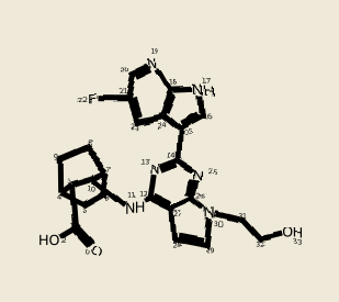 O=C(O)C1C2CCC(CC2)C1Nc1nc(-c2c[nH]c3ncc(F)cc23)nc2c1ccn2CCO